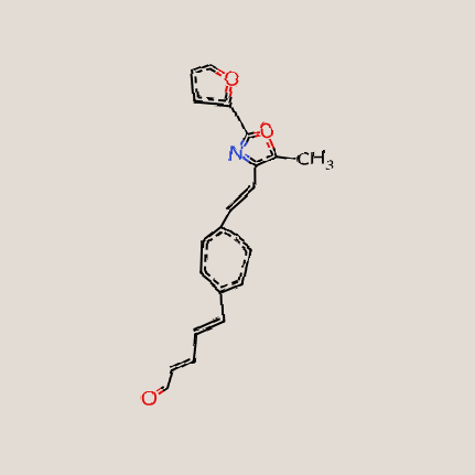 Cc1oc(-c2ccco2)nc1C=Cc1ccc(C=CC=CC=O)cc1